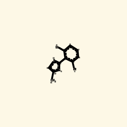 CCc1cccc(CC)c1-c1nc(C)cs1